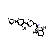 Oc1cc(-n2ccnc2)ncc1-c1cnc(/C=C2\C[C@H]3CCC[C@@H](C2)N3)cn1